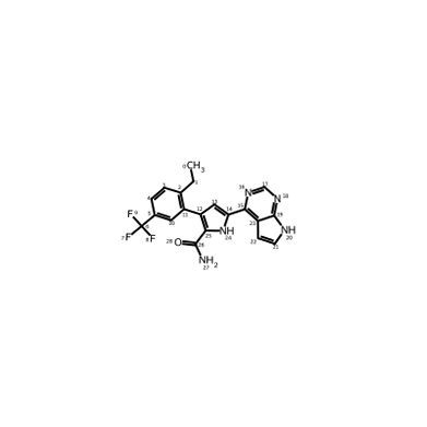 CCc1ccc(C(F)(F)F)cc1-c1cc(-c2ncnc3[nH]ccc23)[nH]c1C(N)=O